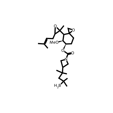 BC(C)(C)CC(C)(C)C1CN(C(=O)O[C@@H]2CCC3(CO3)C(C3(C)OC3CC=C(C)C)[C@@H]2OC)C1